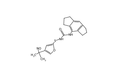 CC(C)(N=O)c1coc(SNC(=O)Nc2c3c(cc4c2CCC4)CCC3)c1